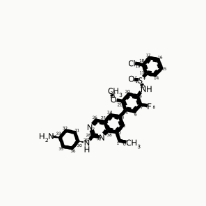 CCc1cc(-c2cc(F)c(N[S+]([O-])c3ccccc3Cl)cc2OC)cc2cnc(N[C@H]3CC[C@H](N)CC3)nc12